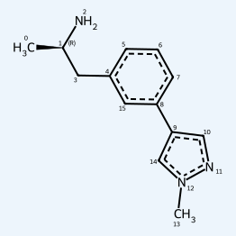 C[C@@H](N)Cc1cccc(-c2cnn(C)c2)c1